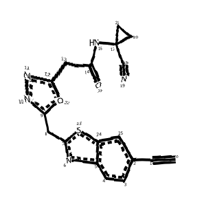 C#Cc1ccc2nc(Cc3nnc(CC(=O)NC4(C#N)CC4)o3)sc2c1